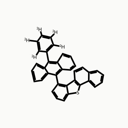 [2H]c1c([2H])c([2H])c(-c2c3ccccc3c(-c3cccc4sc5c6ccccc6ccc5c34)c3ccccc23)c([2H])c1[2H]